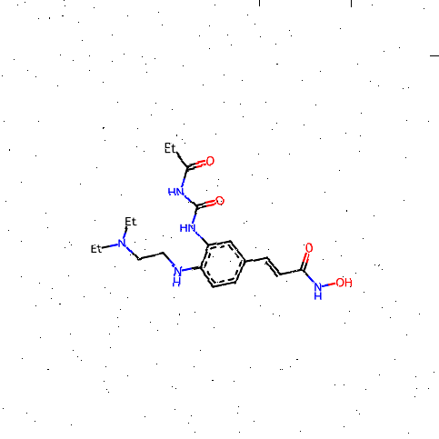 CCC(=O)NC(=O)Nc1cc(/C=C/C(=O)NO)ccc1NCCN(CC)CC